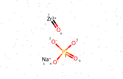 O=P([O-])([O-])[O-].[Na+].[O]=[Zr+2]